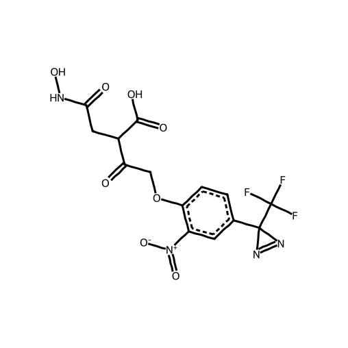 O=C(CC(C(=O)O)C(=O)COc1ccc(C2(C(F)(F)F)N=N2)cc1[N+](=O)[O-])NO